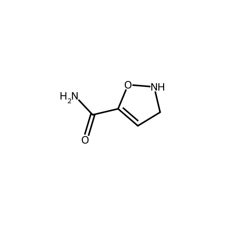 NC(=O)C1=CCNO1